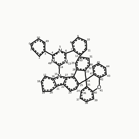 c1ccc(-c2nc(-c3ccccc3)nc(-n3c4ccccc4c4ccc5c(c43)-c3ccccc3C53c4ccccc4Oc4ccccc43)n2)cc1